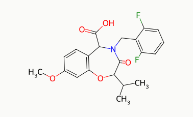 COc1ccc2c(c1)OC(C(C)C)C(=O)N(Cc1c(F)cccc1F)C2C(=O)O